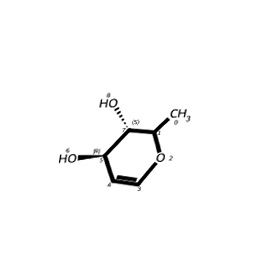 CC1OC=C[C@@H](O)[C@@H]1O